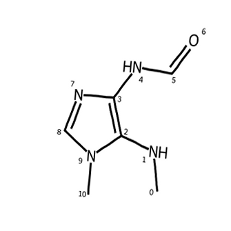 CNc1c(NC=O)ncn1C